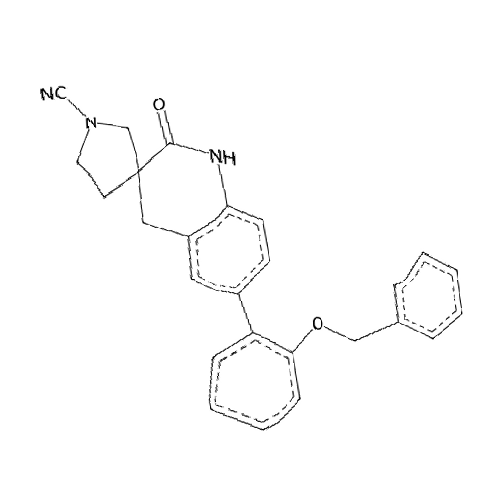 N#CN1CCC2(Cc3cc(-c4ccccc4OCc4ccccc4)ccc3NC2=O)C1